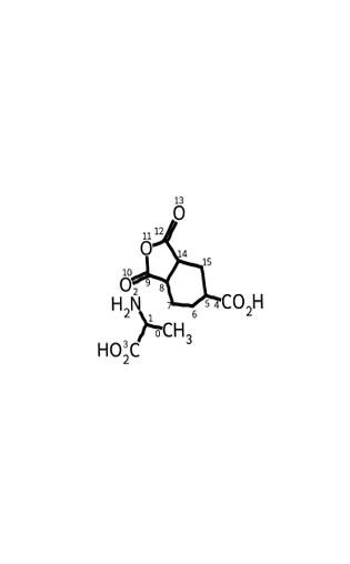 CC(N)C(=O)O.O=C(O)C1CCC2C(=O)OC(=O)C2C1